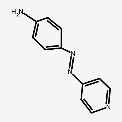 Nc1ccc(/N=N/c2ccncc2)cc1